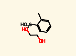 Cc1ccccc1S(=O)(=O)O.OCCO